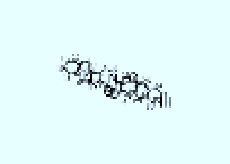 CN1C(=O)[C@@H](N2CCc3c(nn(Cc4ccccc4)c3Cl)C2=O)COc2cc3c(cc21)CNCC3